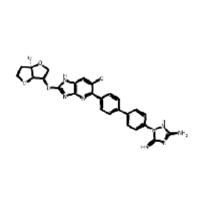 N=c1nc(N)[nH]n1-c1ccc(-c2ccc(-c3nc4nc(OC5CO[C@@H]6CCOC56)[nH]c4cc3Cl)cc2)cc1